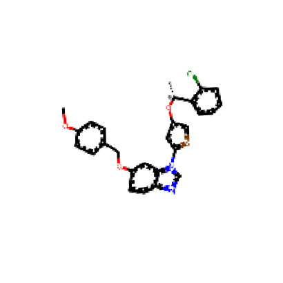 COc1ccc(COc2ccc3ncn(-c4cc(O[C@H](C)c5ccccc5Cl)cs4)c3c2)cc1